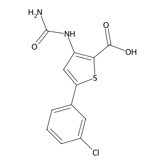 NC(=O)Nc1cc(-c2cccc(Cl)c2)sc1C(=O)O